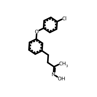 C/C(CCc1cccc(Oc2ccc(Cl)cc2)c1)=N\O